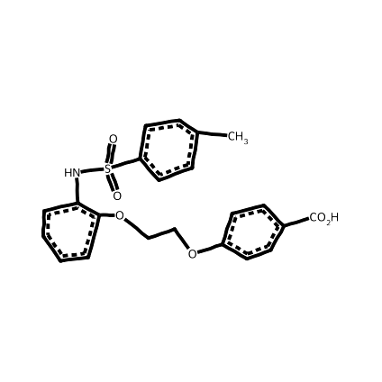 Cc1ccc(S(=O)(=O)Nc2ccccc2OCCOc2ccc(C(=O)O)cc2)cc1